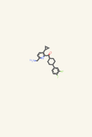 NCc1ccc(C2CC2)c(C(=O)C2CCC(c3ccc(F)c(F)c3)CC2)n1